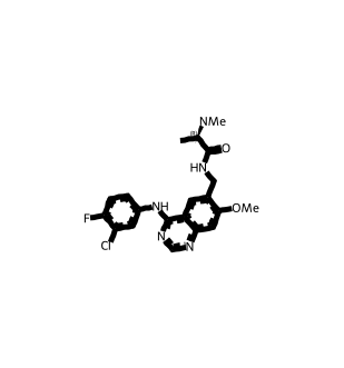 CN[C@H](C)C(=O)NCc1cc2c(Nc3ccc(F)c(Cl)c3)ncnc2cc1OC